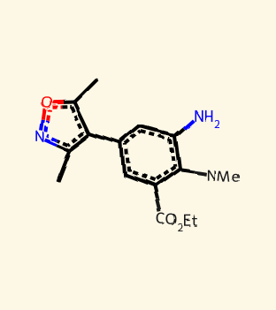 CCOC(=O)c1cc(-c2c(C)noc2C)cc(N)c1NC